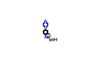 CN1CCN(c2ccc3n[c]([SnH])sc3c2)CC1